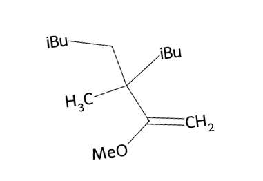 C=C(OC)C(C)(CC(C)CC)C(C)CC